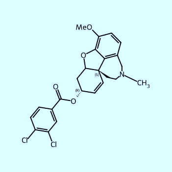 COc1ccc2c3c1OC1C[C@@H](OC(=O)c4ccc(Cl)c(Cl)c4)C=C[C@@]31CCN(C)C2